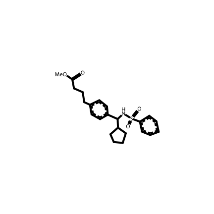 COC(=O)CCCc1ccc(C(NS(=O)(=O)c2ccccc2)C2CCCC2)cc1